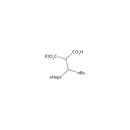 CCCCCCCC(CCCC)C(C(=O)O)C(=O)OCC